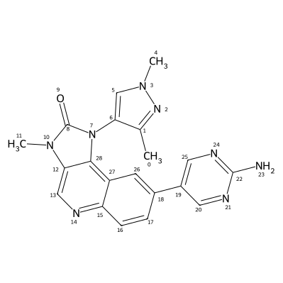 Cc1nn(C)cc1-n1c(=O)n(C)c2cnc3ccc(-c4cnc(N)nc4)cc3c21